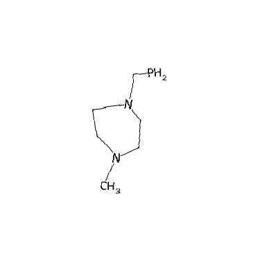 CN1CCN(CP)CC1